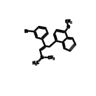 COc1ccc(C/C(=C\N(C)C)c2cccc(Br)c2)c2ccccc12